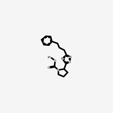 CC(C)OC(=O)N1CCCC1c1nc(CCCc2ccccc2)no1